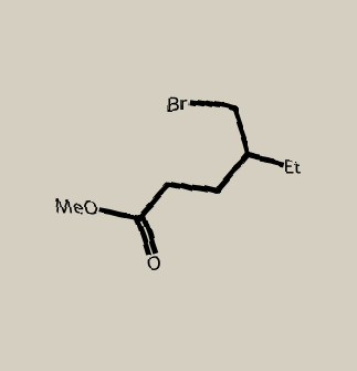 CCC(CBr)CCC(=O)OC